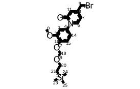 COc1cc(-n2ccc(CBr)cc2=O)ccc1OCOCC[Si](C)(C)C